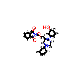 O=C1c2ccccc2C(=O)N1OCCC1CN(c2ccccc2)CCN1c1cccc(O)c1